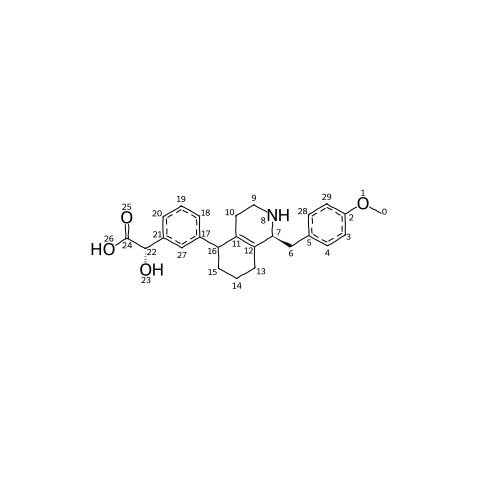 COc1ccc(C[C@@H]2NCCC3=C2CCCC3c2cccc([C@H](O)C(=O)O)c2)cc1